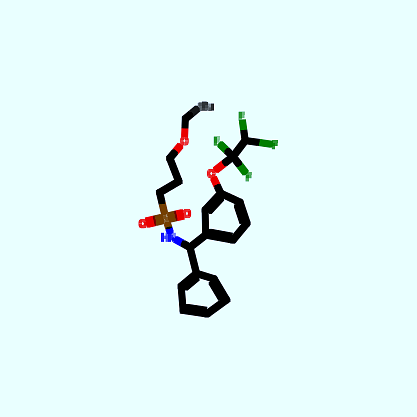 CC(C)(C)COCCCS(=O)(=O)NC(c1ccccc1)c1cccc(OC(F)(F)C(F)F)c1